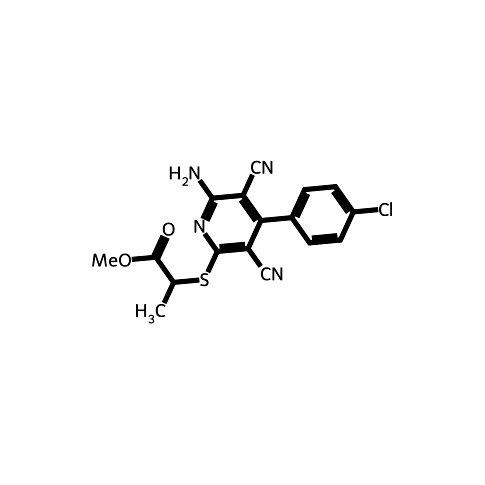 COC(=O)C(C)Sc1nc(N)c(C#N)c(-c2ccc(Cl)cc2)c1C#N